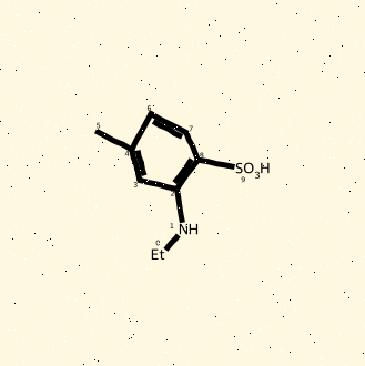 CCNc1cc(C)ccc1S(=O)(=O)O